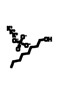 CCCCCCCCO.O=P([O-])([O-])[O-].[K+].[K+].[K+]